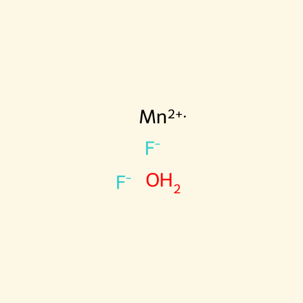 O.[F-].[F-].[Mn+2]